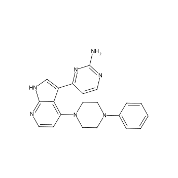 Nc1nccc(-c2c[nH]c3nccc(N4CCN(c5ccccc5)CC4)c23)n1